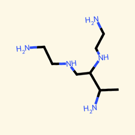 CC(N)C(CNCCN)NCCN